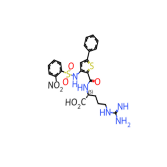 N=C(N)NCCC[C@H](NC(=O)c1sc(-c2ccccc2)cc1NS(=O)(=O)c1ccccc1[N+](=O)[O-])C(=O)O